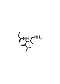 C=C(CC)NC(C(=C)C(C)C)C(C)CN